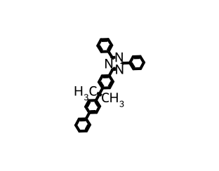 CC(C)(c1ccc(C2=CCCC=C2)cc1)c1ccc(-c2nc(C3=CCCC=C3)nc(-c3ccccc3)n2)cc1